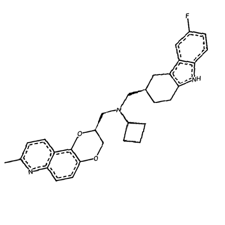 Cc1ccc2c3c(ccc2n1)OC[C@H](CN(C[C@@H]1CCc2[nH]c4ccc(F)cc4c2C1)C1CCC1)O3